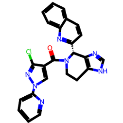 O=C(c1cn(-c2ccccn2)nc1Cl)N1CCc2[nH]cnc2[C@H]1c1ccc2ccccc2n1